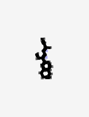 C=N/C(=C\C=C(/C)C#N)c1ncc2c(n1)CCNC2